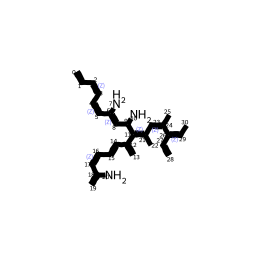 C=C\C=C/C=C\C(N)=C\C(N)\C(C(=C)C=C/C=C\C(=C)N)=C(C)/C=C(C)\C(C=C)=C/C